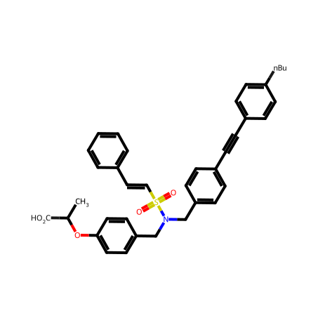 CCCCc1ccc(C#Cc2ccc(CN(Cc3ccc(OC(C)C(=O)O)cc3)S(=O)(=O)/C=C/c3ccccc3)cc2)cc1